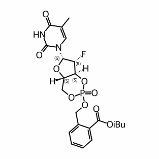 Cc1cn([C@H]2O[C@H]3COP(=O)(OCc4ccccc4C(=O)OCC(C)C)O[C@@H]3[C@H]2F)c(=O)[nH]c1=O